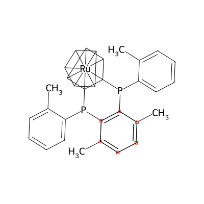 Cc1ccccc1P(c1ccccc1C)[C]12[CH]3[CH]4[CH]5[C]1(P(c1ccccc1C)c1ccccc1C)[Ru]43521678[CH]2[CH]1[CH]6[CH]7[CH]28